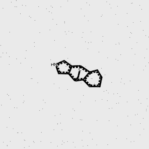 c1ccc2c3c4c[nH]cc4c(c2c1)CC3